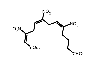 CCCCCCCC/C=C(\C/C=C(\C/C=C(\CCC[C]=O)[N+](=O)[O-])[N+](=O)[O-])[N+](=O)[O-]